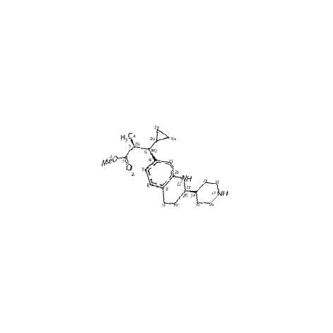 COC(=O)[C@@H](C)[C@H](c1ccc2c(c1)N[C@@H](C1CCNCC1)CC2)C1CC1